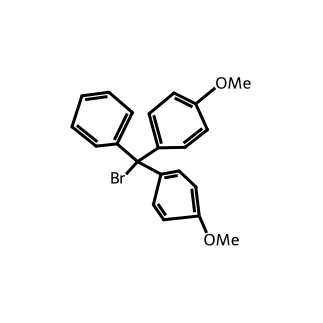 COc1ccc(C(Br)(c2ccccc2)c2ccc(OC)cc2)cc1